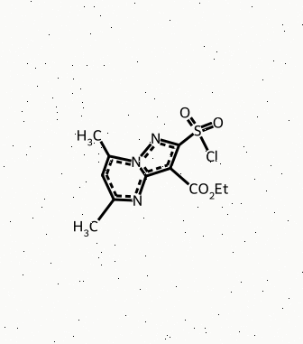 CCOC(=O)c1c(S(=O)(=O)Cl)nn2c(C)cc(C)nc12